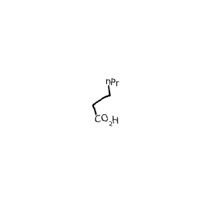 [CH2]CCCCC(=O)O